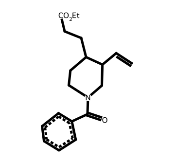 C=CC1CN(C(=O)c2ccccc2)CCC1CCC(=O)OCC